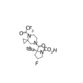 CC(C)(C)[C@]1(C(=O)N2CCN(C(=O)C(F)(F)F)C3(CC3)C2)C[C@@H](F)CN1C(=O)O